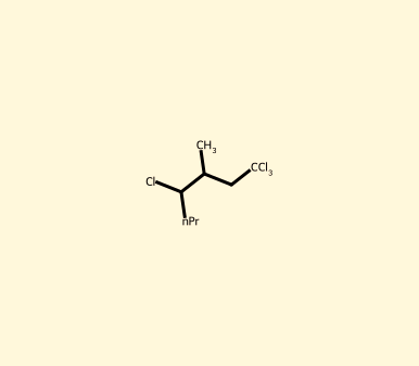 [CH2]CCC(Cl)C(C)CC(Cl)(Cl)Cl